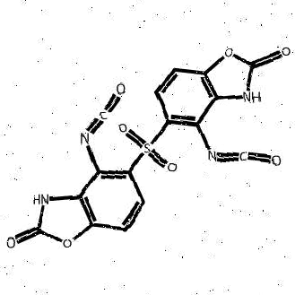 O=C=Nc1c(S(=O)(=O)c2ccc3oc(=O)[nH]c3c2N=C=O)ccc2oc(=O)[nH]c12